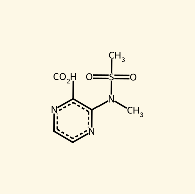 CN(c1nccnc1C(=O)O)S(C)(=O)=O